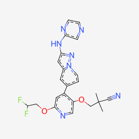 CC(C)(C#N)COc1cnc(OCC(F)F)cc1-c1ccn2nc(Nc3cnccn3)cc2c1